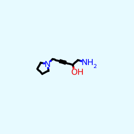 NCC(O)C#CCN1CCCC1